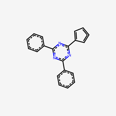 C1=CC=C(c2nc(-c3ccccc3)nc(-c3ccccc3)n2)C=1